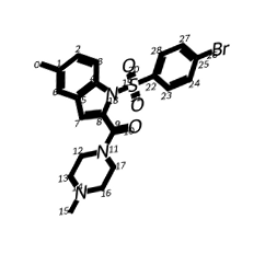 Cc1ccc2c(c1)cc(C(=O)N1CCN(C)CC1)n2S(=O)(=O)c1ccc(Br)cc1